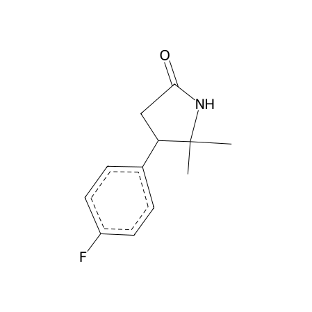 CC1(C)NC(=O)CC1c1ccc(F)cc1